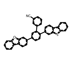 N#Cc1cccc(-c2cc(-c3ccc4c(c3)oc3ccccc34)ccc2-c2ccc3c(c2)sc2ccccc23)c1